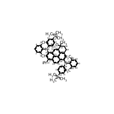 Cc1cccc(C)c1N(c1ccc([Si](C)(C)C)cc1)c1cc(C(C)C)c2ccc3c(N(c4ccc([Si](C)(C)C)cc4)c4c(C)cccc4C)cc4c5c(cc1c2c35)C(C)(C)CC4